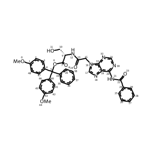 COc1ccc(C(OC(=O)[C@H](CO)NC(=O)Cn2cnc3c(NC(=O)c4ccccc4)ncnc32)(c2ccccc2)c2ccc(OC)cc2)cc1